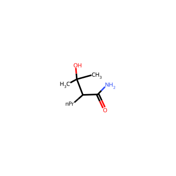 CCCC(C(N)=O)C(C)(C)O